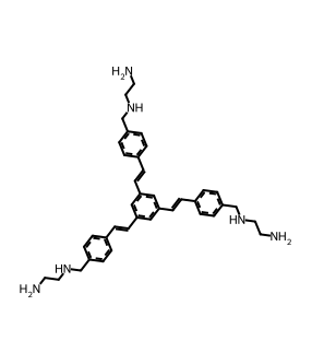 NCCNCc1ccc(/C=C/c2cc(/C=C/c3ccc(CNCCN)cc3)cc(/C=C/c3ccc(CNCCN)cc3)c2)cc1